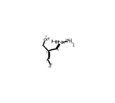 OC/C(=C/F)CNP